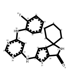 O=C1NC2(CCCCC2)c2cc(Nc3cc(Nc4ccccc4F)ncn3)sc21